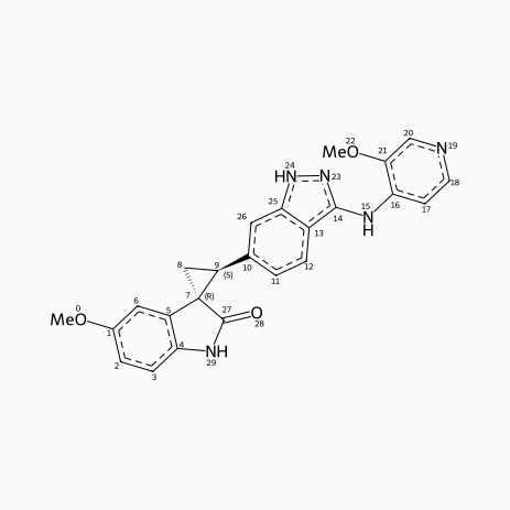 COc1ccc2c(c1)[C@]1(C[C@H]1c1ccc3c(Nc4ccncc4OC)n[nH]c3c1)C(=O)N2